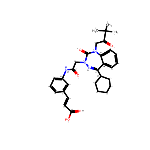 CC(C)(C)C(=O)CN1C(=O)N(CC(=O)Nc2cccc(/C=C/C(=O)O)c2)N=C(C2CCCCC2)c2ccccc21